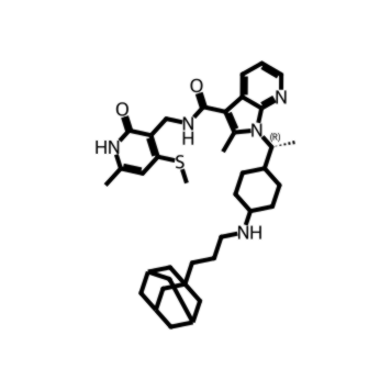 CSc1cc(C)[nH]c(=O)c1CNC(=O)c1c(C)n([C@H](C)C2CCC(NCCCC34CC5CC(CC(C5)C3)C4)CC2)c2ncccc12